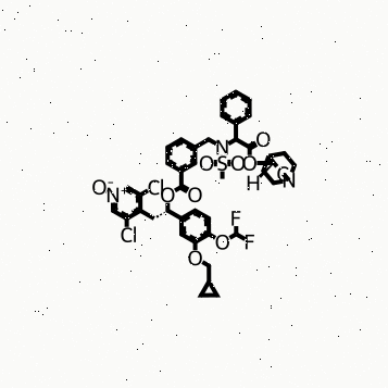 CS(=O)(=O)N(Cc1cccc(C(=O)O[C@@H](Cc2c(Cl)c[n+]([O-])cc2Cl)c2ccc(OC(F)F)c(OCC3CC3)c2)c1)C(C(=O)O[C@H]1CN2CCC1CC2)c1ccccc1